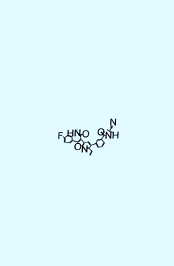 C=Cc1nc2oc(-c3ccc(F)cc3)c(C(=O)NC)c2cc1-c1cccc(C(=O)NC(C)(C)C#N)c1